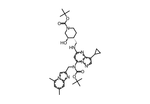 Cc1cc(C)n2cc(CN(C(=O)OC(C)(C)C)c3cc(NC[C@H]4CCN(C(=O)OC(C)(C)C)C[C@@H]4O)nc4c(C5CC5)cnn34)nc2c1